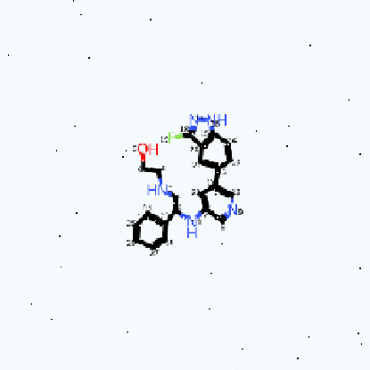 OCCNCC(Nc1cncc(-c2ccc3[nH]nc(F)c3c2)c1)c1ccccc1